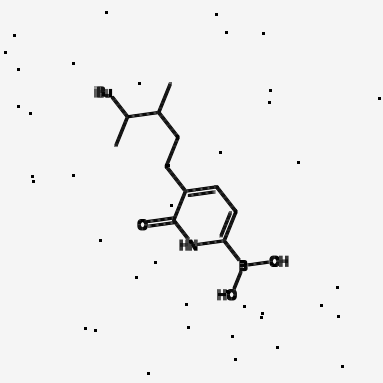 CCC(C)C(C)C(C)CCc1ccc(B(O)O)[nH]c1=O